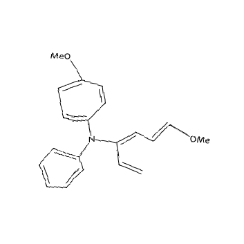 C=C/C(=C\C=C\OC)N(c1ccccc1)c1ccc(OC)cc1